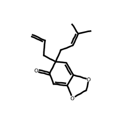 C=CCC1(CC=C(C)C)C=C2OCOC2=CC1=O